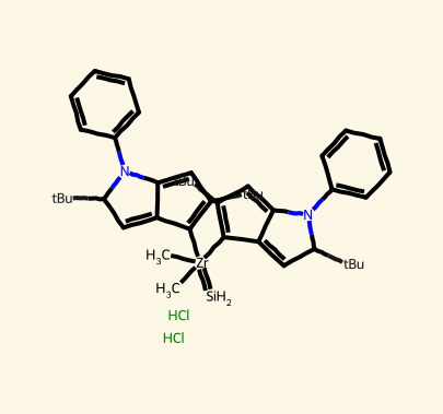 CC(C)(C)C1=[C]([Zr]([CH3])([CH3])(=[SiH2])[C]2=C(C(C)(C)C)C=C3C2=CC(C(C)(C)C)N3c2ccccc2)C2=CC(C(C)(C)C)N(c3ccccc3)C2=C1.Cl.Cl